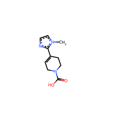 Cn1ccnc1C1=CCN(C(=O)O)CC1